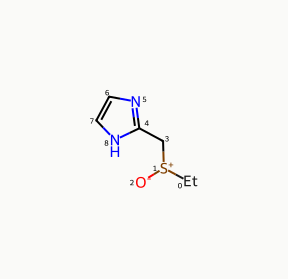 CC[S+]([O-])Cc1ncc[nH]1